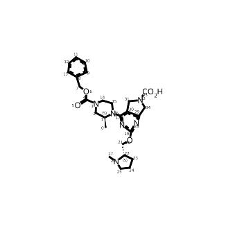 C[C@H]1CN(C(=O)OCc2ccccc2)CCN1c1nc(OC[C@@H]2CCCN2C)nc2c1CN(C(=O)O)C2